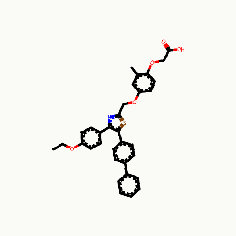 CCOc1ccc(-c2nc(COc3ccc(OCC(=O)O)c(C)c3)sc2-c2ccc(-c3ccccc3)cc2)cc1